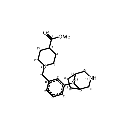 COC(=O)C1CCN(Cc2cccc(N3C4CCC3CNC4)c2)CC1